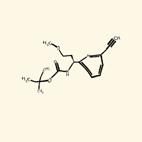 C#Cc1cccc([C@H](CCOC)NC(=O)OC(C)(C)C)n1